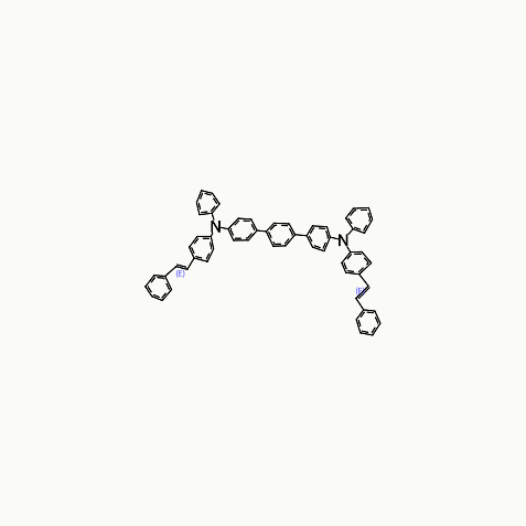 C(=C\c1ccc(N(c2ccccc2)c2ccc(-c3ccc(-c4ccc(N(c5ccccc5)c5ccc(/C=C/c6ccccc6)cc5)cc4)cc3)cc2)cc1)/c1ccccc1